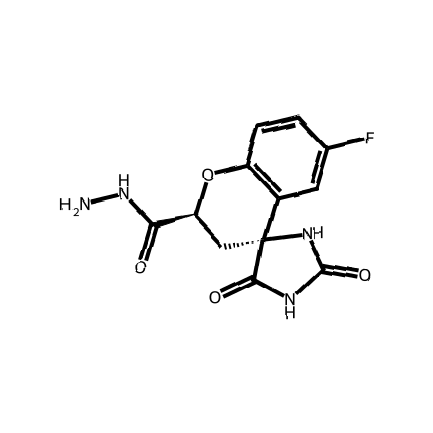 NNC(=O)[C@@H]1C[C@@]2(NC(=O)NC2=O)c2cc(F)ccc2O1